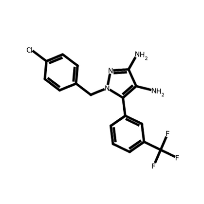 Nc1nn(Cc2ccc(Cl)cc2)c(-c2cccc(C(F)(F)F)c2)c1N